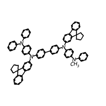 CN(c1ccccc1)c1ccc(N(c2ccc(-c3ccc(N(c4ccc(N(c5ccccc5)c5ccccc5)cc4)c4ccc5c(c4)C4(CCCC4)c4ccccc4-5)cc3)cc2)c2ccc3c(c2)C2(CCCC2)c2ccccc2-3)cc1